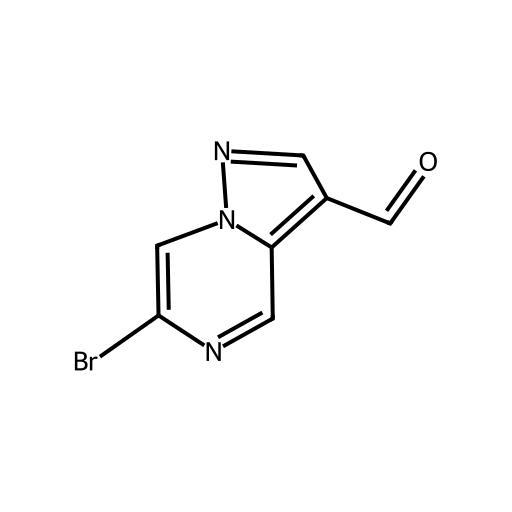 O=Cc1cnn2cc(Br)ncc12